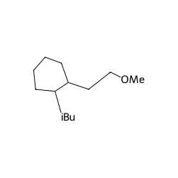 CCC(C)C1CCCCC1CCOC